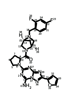 Nc1nc(N2CCC[C@H]2C(=O)N2C[C@@H]3C[C@H]2CN3Cc2ccc(F)cc2F)nc2nc(-c3ccco3)nn12